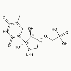 Cc1cn([C@]2(O)OC[C@@H](OCP(=O)(O)O)[C@@H]2O)c(=O)[nH]c1=O.[NaH]